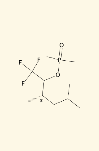 CC(C)C[C@H](C)C(OP(C)(C)=O)C(F)(F)F